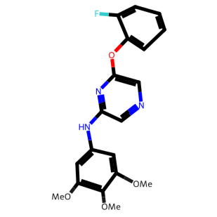 COc1cc(Nc2cncc(Oc3ccccc3F)n2)cc(OC)c1OC